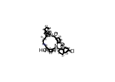 C[C@H]1C/C=C/[C@H](O)[C@@H]2CC[C@H]2CN2C[C@@]3(CCCc4cc(Cl)ccc43)COc3ccc(cc32)C(=O)NS(=O)(=O)[C@@H]1Cc1cccs1